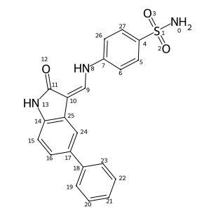 NS(=O)(=O)c1ccc(N/C=C2\C(=O)Nc3ccc(-c4ccccc4)cc32)cc1